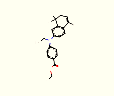 CCOC(=O)c1ccc(N(CC)c2ccc3c(c2)C(C)(C)CC=C3C)cc1